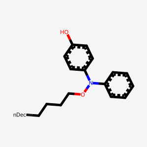 CCCCCCCCCCCCCCON(c1ccccc1)c1ccc(O)cc1